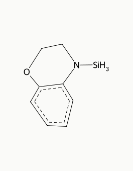 [SiH3]N1CCOc2ccccc21